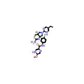 CCC1=CNC(N2C[C@H]3CSC(N)=N[C@@]3(c3cc(NC(=O)C4=CNC(OC)C=N4)ccc3F)C2)N=C1